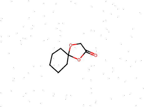 O=C1COC2(CCCCC2)O1